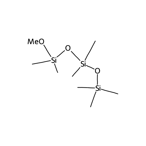 CO[Si](C)(C)O[Si](C)(C)O[Si](C)(C)C